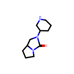 O=C1N2CCCC2CN1C1CCCNC1